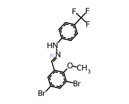 COc1c(Br)cc(Br)cc1/C=N/Nc1ccc(C(F)(F)F)cc1